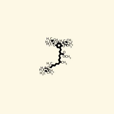 COC(=O)C(=CCc1cc(O[Si](C)(C)C(C)(C)C)ccc1O[Si](C)(C)C(C)(C)C)CC/C=C(\C)CC/C=C(\C)CO[Si](C)(C)C(C)(C)C